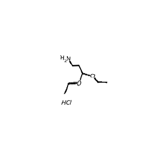 CCOC(CCN)OCC.Cl